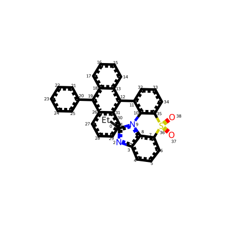 CCc1nc2cccc3c2n1-c1c(-c2c4ccccc4c(-c4ccccc4)c4ccccc24)cccc1S3(=O)=O